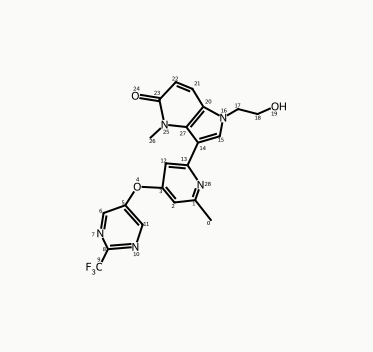 Cc1cc(Oc2cnc(C(F)(F)F)nc2)cc(-c2cn(CCO)c3ccc(=O)n(C)c23)n1